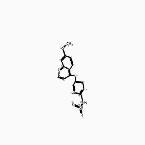 COc1ccc2c(Oc3cnc(N[SH](=O)=O)nc3)ccnc2c1